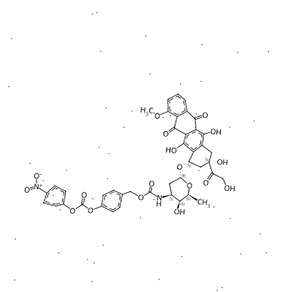 COc1cccc2c1C(=O)c1c(O)c3c(c(O)c1C2=O)C[C@@](O)(C(=O)CO)C[C@@H]3O[C@H]1C[C@H](NC(=O)OCc2ccc(OC(=O)Oc3ccc([N+](=O)[O-])cc3)cc2)[C@H](O)[C@H](C)O1